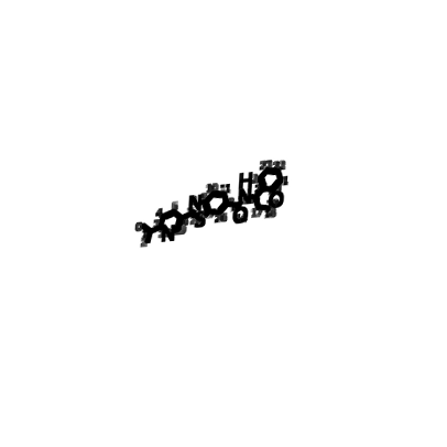 CC(C)c1ccc(-c2nc3ccc(C(=O)NC4CCOc5ccccc54)cc3s2)cn1